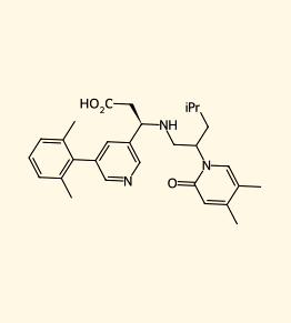 Cc1cc(=O)n(C(CN[C@H](CC(=O)O)c2cncc(-c3c(C)cccc3C)c2)CC(C)C)cc1C